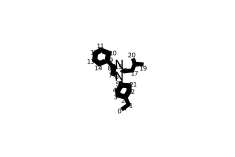 [CH2]Cc1ccc(-n2cc(-c3ccccc3)nc2CC(C)C)cc1